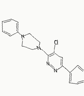 Clc1cc(-c2ccccc2)nnc1N1CCN(c2ccccc2)CC1